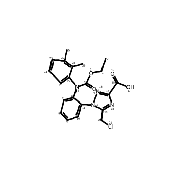 CCOC(=O)N(c1ccccc1-n1nc(C(=O)O)nc1CCl)c1cccc(C)c1C